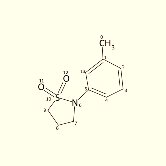 Cc1cccc(N2CCCS2(=O)=O)c1